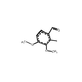 COc1ccc(C=O)c(I)c1OC